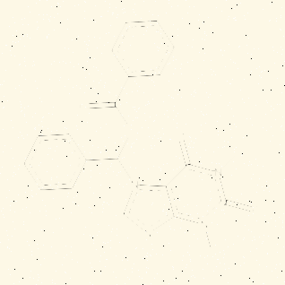 Cn1c(=O)c2c(ncn2C(OC(=O)c2ccccc2)c2ccccc2)n(C)c1=O